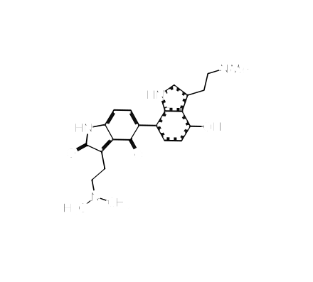 CNCCc1c[nH]c2c(C3=CC=C4NC(=O)C(CCN(C)C)=C4C3=O)ccc(O)c12